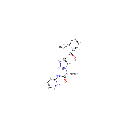 CCCCCCC(C(=O)Nc1ccccn1)n1cnc(NC(=O)c2ccccc2S(=O)(=O)O)c1